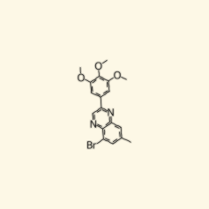 COc1cc(-c2cnc3c(Br)cc(C)cc3n2)cc(OC)c1OC